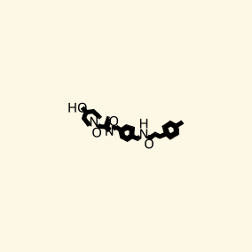 Cc1ccc(CCC(=O)NCc2ccc(-c3nc(C(=O)N4CCC(O)CC4)co3)cc2)cc1